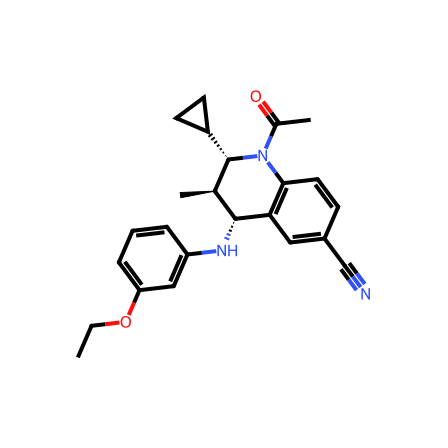 CCOc1cccc(N[C@H]2c3cc(C#N)ccc3N(C(C)=O)[C@@H](C3CC3)[C@@H]2C)c1